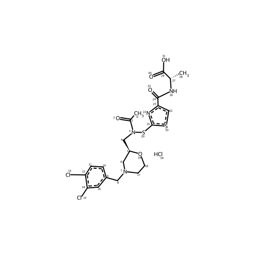 CC(=O)N(C[C@@H]1CN(Cc2ccc(Cl)c(Cl)c2)CCO1)Sc1nc(C(=O)N[C@@H](C)C(=O)O)cs1.Cl